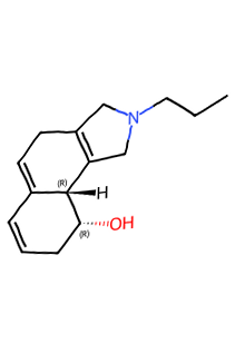 CCCN1CC2=C(C1)[C@H]1C(=CC2)C=CC[C@H]1O